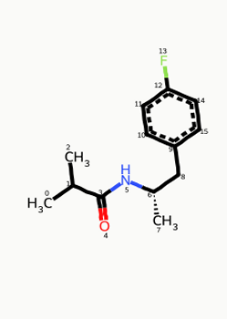 CC(C)C(=O)N[C@@H](C)Cc1ccc(F)cc1